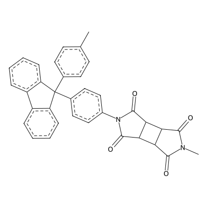 Cc1ccc(C2(c3ccc(N4C(=O)C5C6C(=O)N(C)C(=O)C6C5C4=O)cc3)c3ccccc3-c3ccccc32)cc1